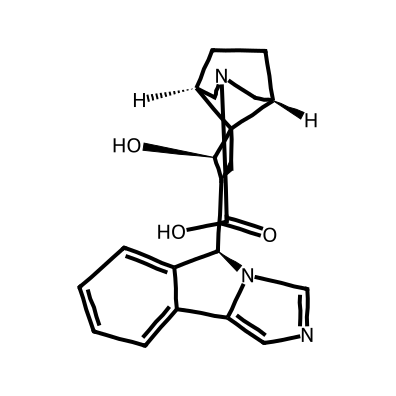 O=C(O)N1C[C@@H]2CC[C@@H](C1)C21C[C@@H]([C@@H]2c3ccccc3-c3cncn32)[C@H]1O